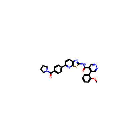 COc1ccccc1-c1cnncc1C(=O)Nc1nc2ccc(-c3ccc(C(=O)N4CCCC4)cc3)nc2s1